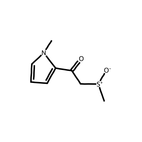 Cn1cccc1C(=O)C[S+](C)[O-]